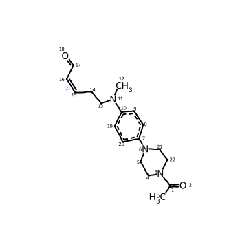 CC(=O)N1CCN(c2ccc(N(C)CC/C=C\C=O)cc2)CC1